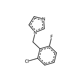 Fc1cccc(Cl)c1Cn1ccnc1